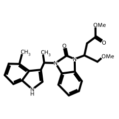 COCC(CC(=O)OC)n1c(=O)n(C(C)c2c[nH]c3cccc(C)c23)c2ccccc21